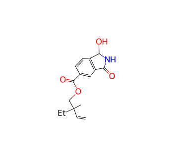 C=CC(C)(CC)COC(=O)c1ccc2c(c1)C(=O)NC2O